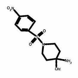 NC1(O)CCN(S(=O)(=O)c2ccc([N+](=O)[O-])cc2)CC1